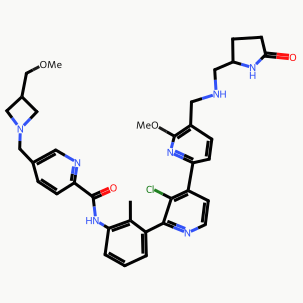 COCC1CN(Cc2ccc(C(=O)Nc3cccc(-c4nccc(-c5ccc(CNCC6CCC(=O)N6)c(OC)n5)c4Cl)c3C)nc2)C1